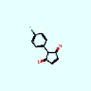 O=C1C=CC(=O)C1c1ccc(F)cc1